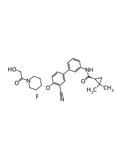 CC1(C)C[C@@H]1C(=O)Nc1cccc(-c2ccc(O[C@H]3CCN(C(=O)CO)C[C@H]3F)c(C#N)c2)c1